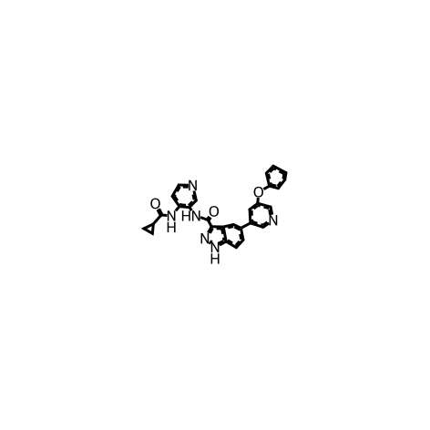 O=C(Nc1cnccc1NC(=O)C1CC1)c1n[nH]c2ccc(-c3cncc(Oc4ccccc4)c3)cc12